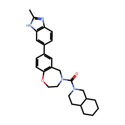 Cc1nc2ccc(-c3ccc4c(c3)CN(C(=O)N3CCC5CCCCC5C3)CCO4)cc2[nH]1